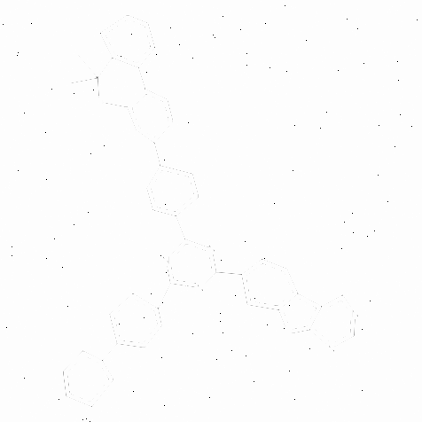 CC1(C)Oc2cc(-c3ccc(-c4nc(-c5ccc(-c6ccccc6)cc5)nc(-c5ccc6c(c5)oc5ncncc56)n4)cc3)ccc2-c2ccccc21